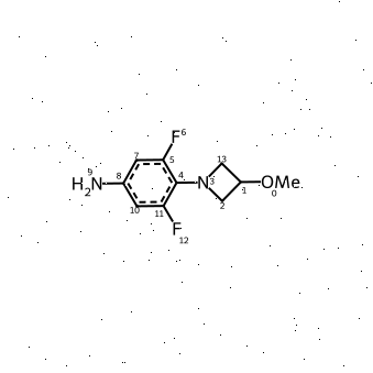 COC1CN(c2c(F)cc(N)cc2F)C1